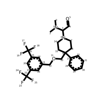 CN(C)C(C=O)N1CCC(COCc2cc(C(F)(F)F)cc(C(F)(F)F)c2)(c2ccccc2)CC1